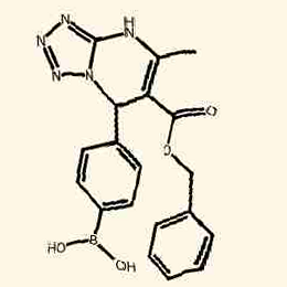 CC1=C(C(=O)OCc2ccccc2)C(c2ccc(B(O)O)cc2)n2nnnc2N1